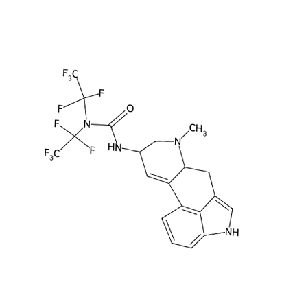 CN1CC(NC(=O)N(C(F)(F)C(F)(F)F)C(F)(F)C(F)(F)F)C=C2c3cccc4[nH]cc(c34)CC21